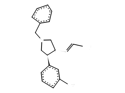 COc1cccc([C@H]2CN(Cc3ccccc3)C[C@@H]2C=CC(=O)O)c1